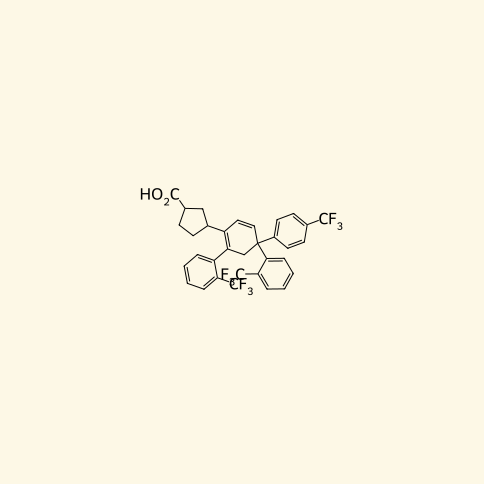 O=C(O)C1CCC(C2=C(c3ccccc3C(F)(F)F)CC(c3ccc(C(F)(F)F)cc3)(c3ccccc3C(F)(F)F)C=C2)C1